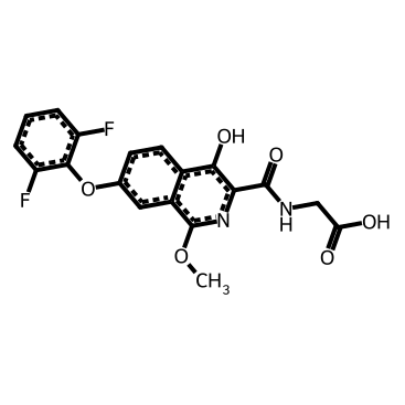 COc1nc(C(=O)NCC(=O)O)c(O)c2ccc(Oc3c(F)cccc3F)cc12